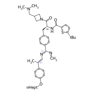 C=N/C(=N\C=C(/C)c1ccc(OCCCCCCC)cc1)c1ccc(C[C@H](NC(=O)c2ccc(C(C)(C)C)s2)C(=O)N2CC(CN(C)C)C2)cc1